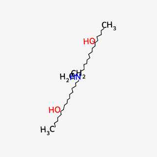 C=C.CCCCCCC(O)CCCCCCCCCCCNCCCCCCCCCCCC(O)CCCCCC